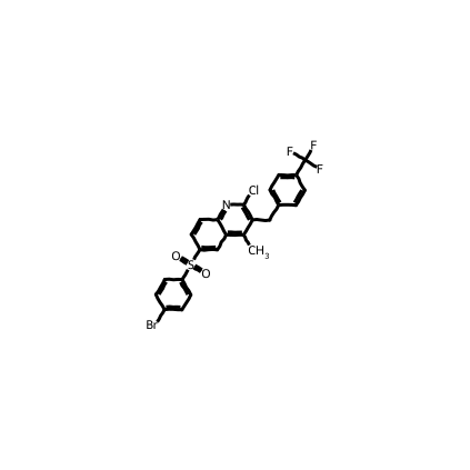 Cc1c(Cc2ccc(C(F)(F)F)cc2)c(Cl)nc2ccc(S(=O)(=O)c3ccc(Br)cc3)cc12